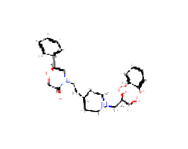 O=C1COC(c2ccccc2)CN1CCC1CCN(CC2COc3ccccc3O2)CC1